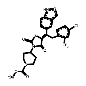 CC(C)(C)OC(=O)N1CCC(N2C(=O)S/C(=C(/Cc3ccc(Cl)cc3C(F)(F)F)c3ccc4[nH]ncc4c3)C2=O)CC1